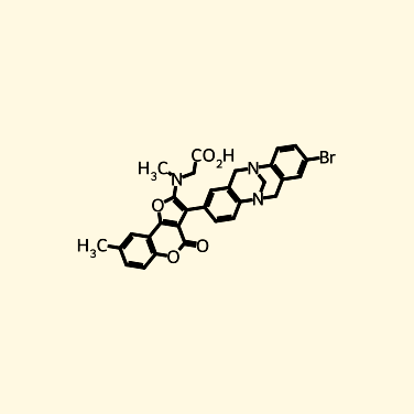 Cc1ccc2oc(=O)c3c(-c4ccc5c(c4)CN4CN5Cc5cc(Br)ccc54)c(N(C)CC(=O)O)oc3c2c1